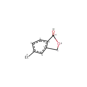 CCc1ccc2c(c1)COC2=O